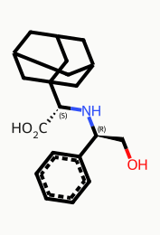 O=C(O)[C@@H](N[C@@H](CO)c1ccccc1)C12CC3CC(CC(C3)C1)C2